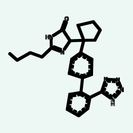 CCCCC1=NC(C2(c3ccc(-c4ccccc4-c4nnn[nH]4)cc3)CCCC2)C(=O)N1